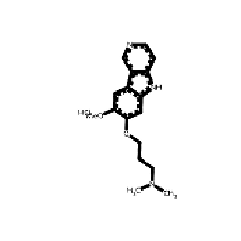 COc1cc2c(cc1OCCCN(C)C)[nH]c1ccncc12.Cl